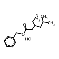 CC(C)CC(CN)CC(=O)OCc1ccccc1.Cl